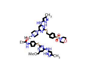 CCC(=O)Nc1ccc(Sc2nc(COC)cc(Nc3cc(C)n[nH]3)n2)cc1.Cc1cc(Nc2cc(N3CCN(C)CC3)nc(SCc3ccc(S(=O)(=O)N4CCOCC4)cc3)n2)[nH]n1